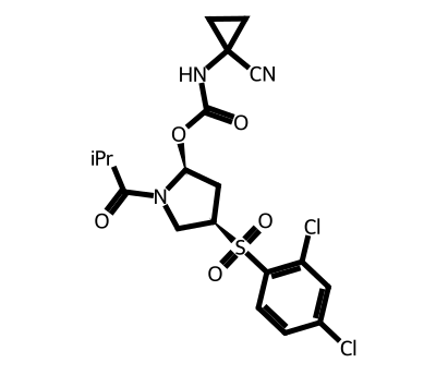 CC(C)C(=O)N1C[C@H](S(=O)(=O)c2ccc(Cl)cc2Cl)C[C@@H]1OC(=O)NC1(C#N)CC1